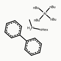 CCCCCC[PH2+]C.CCC[CH2][Al-]([CH2]CCC)([CH2]CCC)[CH2]CCC.c1ccc(-c2ccccc2)cc1